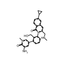 CNCc1cc2cc(C3CC3)ccc2c(=O)n1-c1cccc(-c2cc(N)c(=O)n(C)c2)c1CO